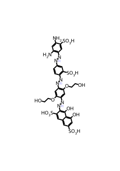 Nc1cc(N)c(S(=O)(=O)O)cc1/N=N/c1ccc(/N=N/c2cc(OCCO)c(/N=N/c3c(S(=O)(=O)O)cc4cc(S(=O)(=O)O)cc(O)c4c3O)cc2OCCO)c(S(=O)(=O)O)c1